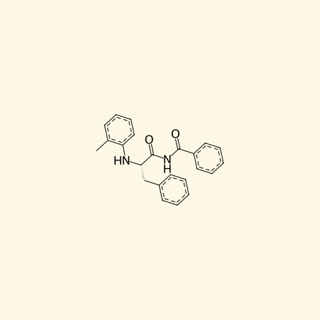 Cc1ccccc1N[C@@H](Cc1ccccc1)C(=O)NC(=O)c1ccccc1